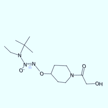 CCN(/[N+]([O-])=N/OC1CCN(C(=O)CO)CC1)C(C)(C)C